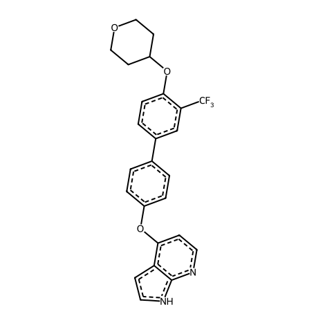 FC(F)(F)c1cc(-c2ccc(Oc3ccnc4[nH]ccc34)cc2)ccc1OC1CCOCC1